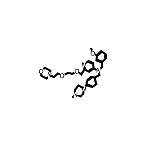 COc1cccc(CN(Cc2ccc(N3CCN(C)CC3)cc2)c2ccnc(COCCOCCN3CCOCC3)c2)c1